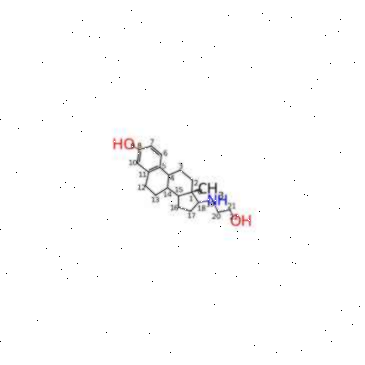 C[C@]12CCC3c4ccc(O)cc4CCC3C1CCC2NCCO